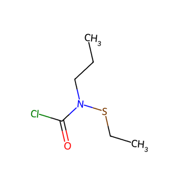 CCCN(SCC)C(=O)Cl